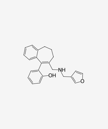 Oc1ccccc1C1=C(CNCc2ccoc2)CCCc2ccccc21